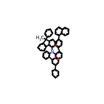 CC1(c2ccccc2)c2ccccc2-c2c(N(c3ccccc3-c3ccc(-c4cccc5ccccc45)cc3)c3ccccc3-c3cccc(-c4ccccc4)c3)cccc21